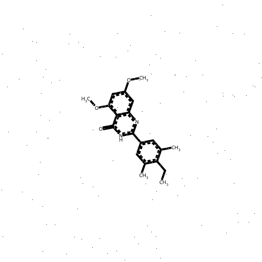 CCc1c(C)cc(-c2nc3cc(OC)cc(OC)c3c(=O)[nH]2)cc1C